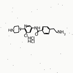 Cl.Cl.NCCc1ccc(C(=O)Nc2cnc(N3CCNCC3)c(Cl)c2)cc1